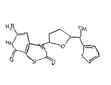 Nc1nc2c(sc(=O)n2C2CCC(C(O)c3cccs3)O2)c(=O)[nH]1